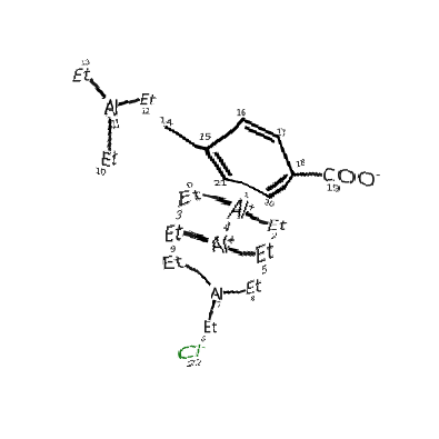 C[CH2][Al+][CH2]C.C[CH2][Al+][CH2]C.C[CH2][Al]([CH2]C)[CH2]C.C[CH2][Al]([CH2]C)[CH2]C.Cc1ccc(C(=O)[O-])cc1.[Cl-]